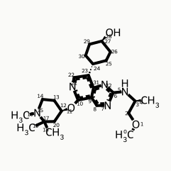 COC[C@H](C)Nc1ncc2c(O[C@@H]3CCN(C)C(C)(C)C3)ncc([C@H]3CC[C@H](O)CC3)c2n1